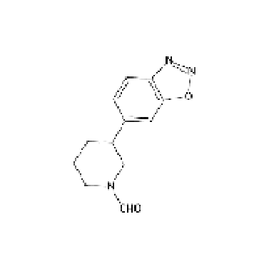 O=CN1CCCC(c2ccc3nnoc3c2)C1